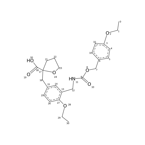 CCOc1ccc(COC(=O)NCc2cc(CC3(C(=O)O)CCCO3)ccc2OCC)cc1